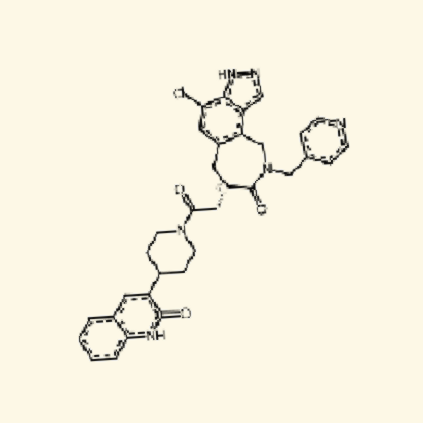 O=C(C[C@@H]1Cc2cc(Cl)c3[nH]ncc3c2CN(Cc2ccncc2)C1=O)N1CCC(c2cc3ccccc3[nH]c2=O)CC1